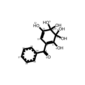 O=C(C1=C(O)C(O)(O)C(O)(O)C(O)=C1)c1ccccc1